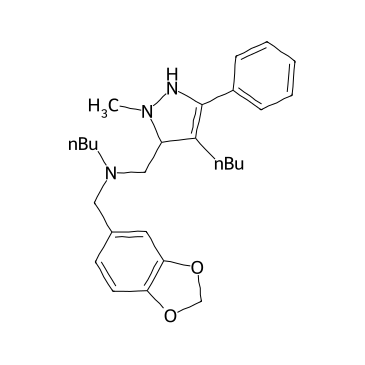 CCCCC1=C(c2ccccc2)NN(C)C1CN(CCCC)Cc1ccc2c(c1)OCO2